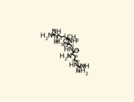 CC(C)(CCCNC(=N)N)NC(=O)CNC(=O)C(N)CCCNC(=N)N